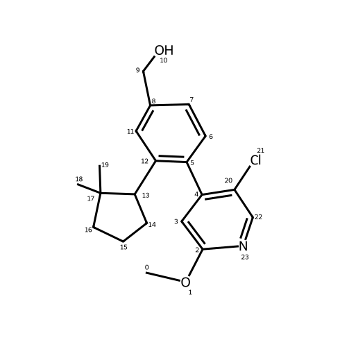 COc1cc(-c2ccc(CO)cc2C2CCCC2(C)C)c(Cl)cn1